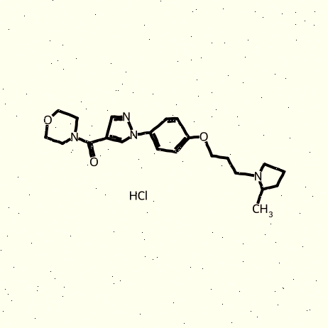 CC1CCCN1CCCOc1ccc(-n2cc(C(=O)N3CCOCC3)cn2)cc1.Cl